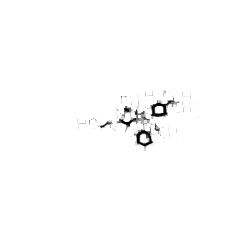 COc1cccc(Oc2c(NS(=O)(=O)c3ccc(C(C)(C)C)cc3)nc(C)nc2OCCO)c1